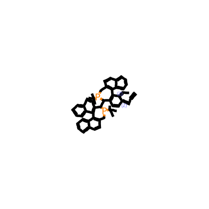 C#C/C=c1/ccc2c(/c1=C/C)-c1c(ccc3ccccc13)CP(C(C)(C)C)C2C1c2ccc3ccccc3c2-c2c(ccc3ccccc23)CP1C(C)(C)C